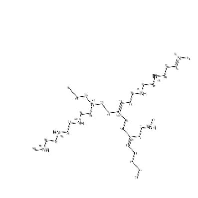 CCCC/C=C(\CCNC)CC/C(=C\CCNCCNCC/C=N/C)CCN(CCC)CCNCCNCCNC